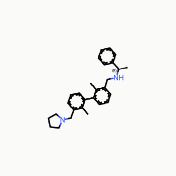 Cc1c(CN[C@H](C)c2ccccc2)cccc1-c1cccc(CN2CCCC2)c1C